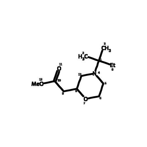 CCC(C)(C)N1CCOC(CC(=O)OC)C1